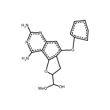 COC(O)C1Cc2c(Oc3ccccc3)cc3nc(N)nc(N)c3c2O1